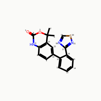 CC1(C)OC(=O)Nc2ccc(-c3ccccc3-c3ncsn3)cc21